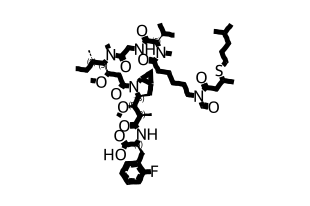 CC[C@H](C)[C@@H](C(CC(=O)N1C2CC2C[C@H]1[C@H](OC)[C@@H](C)C(=O)N[C@@H](Cc1ccccc1F)C(=O)O)OC)N(C)C(=O)CNC(=O)[C@H](C(C)C)N(C)C(=O)CCCCCN(C=O)C(=O)CC(C)SCCCC(C)C